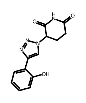 O=C1CCC(n2cc(-c3ccccc3O)nn2)C(=O)N1